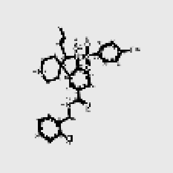 C/C=C/C1C2(CCNCC2)c2cc(C(=O)NCc3ccccc3Cl)ccc2[N+]1(C(C)=O)S(=O)(=O)c1ccc(F)cc1